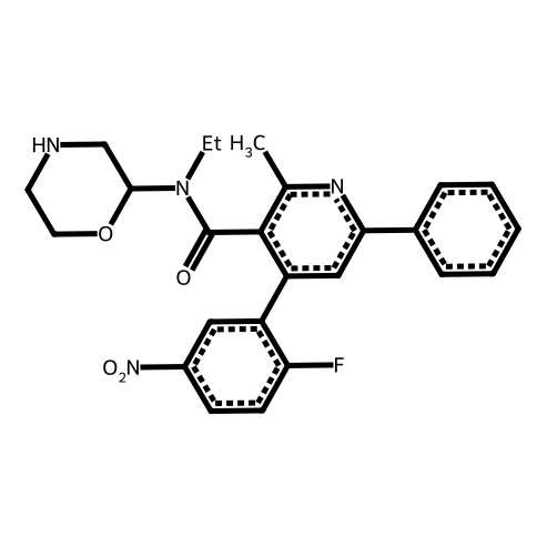 CCN(C(=O)c1c(-c2cc([N+](=O)[O-])ccc2F)cc(-c2ccccc2)nc1C)C1CNCCO1